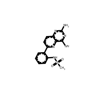 CCCc1nc(N)nc2ccc(-c3ccccc3NS(C)(=O)=O)nc12